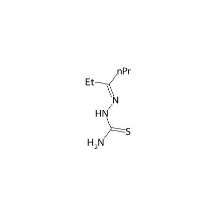 CCCC(CC)=NNC(N)=S